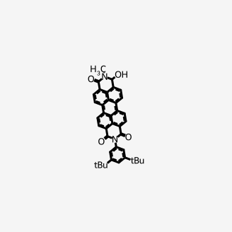 CN1C(=O)c2ccc3c4ccc5c6c(ccc(c7ccc(c2c37)C1O)c64)C(=O)N(c1cc(C(C)(C)C)cc(C(C)(C)C)c1)C5=O